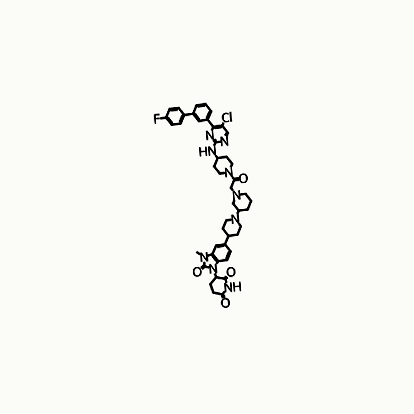 Cn1c(=O)n(C2CCC(=O)NC2=O)c2ccc(C3CCN(C4CCCN(CC(=O)N5CCC(Nc6ncc(Cl)c(-c7cccc(-c8ccc(F)cc8)c7)n6)CC5)C4)CC3)cc21